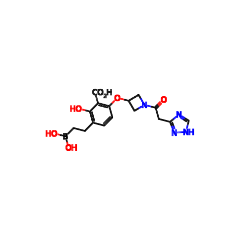 O=C(O)c1c(OC2CN(C(=O)Cc3nc[nH]n3)C2)ccc(CCB(O)O)c1O